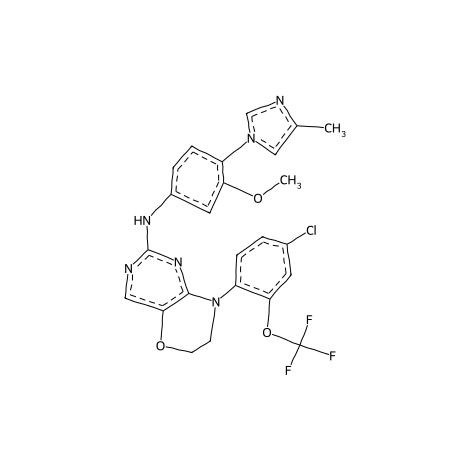 COc1cc(Nc2ncc3c(n2)N(c2ccc(Cl)cc2OC(F)(F)F)CCO3)ccc1-n1cnc(C)c1